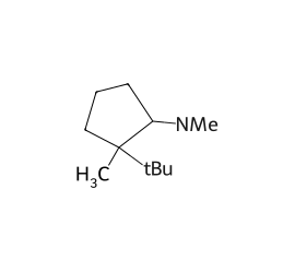 CNC1CCCC1(C)C(C)(C)C